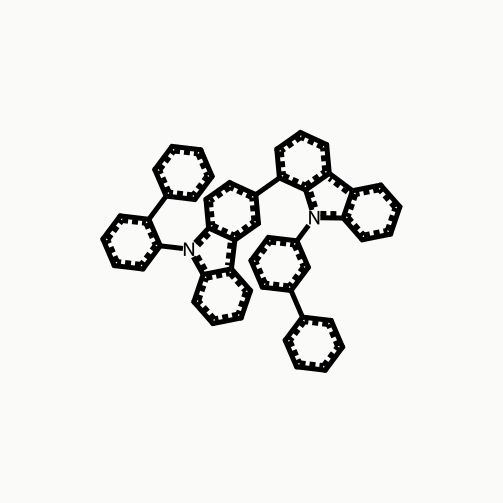 c1ccc(-c2cccc(-n3c4ccccc4c4cccc(-c5ccc6c(c5)c5ccccc5n6-c5ccccc5-c5ccccc5)c43)c2)cc1